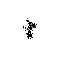 [2H]c1c(OC([2H])([2H])[2H])c(OC([2H])([2H])[2H])c([2H])c2c(N)nc(N3CCN(C(=O)C4Oc5ccccc5OC4([2H])[2H])CC3)nc12